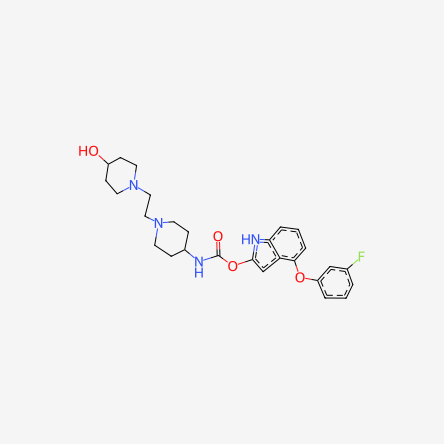 O=C(NC1CCN(CCN2CCC(O)CC2)CC1)Oc1cc2c(Oc3cccc(F)c3)cccc2[nH]1